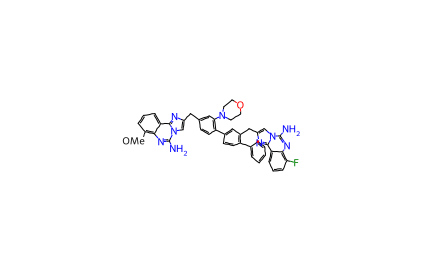 COc1cccc2c1nc(N)n1cc(Cc3ccc(-c4ccc(-c5ccccc5)c(Cc5cn6c(N)nc7c(F)cccc7c6n5)c4)c(N4CCOCC4)c3)nc21